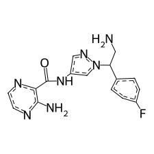 NCC(c1ccc(F)cc1)n1cc(NC(=O)c2nccnc2N)cn1